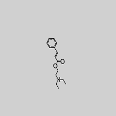 CCN(CC)CCOC(=O)/C=C/c1ccccc1